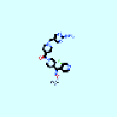 CO/N=C(\c1ccncc1F)C1CCN(C(=O)C2CCN(Cc3cnc(N)nc3)CC2)CC1